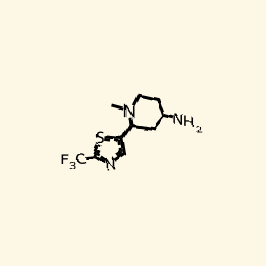 CN1CCC(N)CC1c1cnc(C(F)(F)F)s1